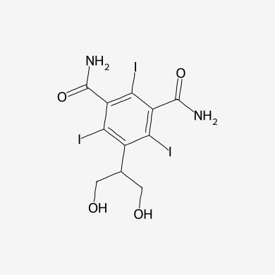 NC(=O)c1c(I)c(C(N)=O)c(I)c(C(CO)CO)c1I